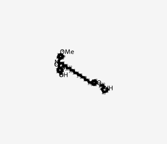 COc1ccc(-c2noc(-c3ccc(O)cc3)c2CC(=O)CCCCCCCCCCCCCCc2ccc(OCCC3CCCCN3)cc2)cc1